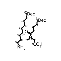 CCCCCCCCCCCCCC(=O)N(C)CC(=O)O.CCCCCCCCCCCCCCCCCCN